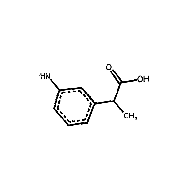 CC(C(=O)O)c1cccc([NH])c1